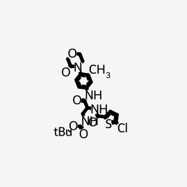 Cc1cc(NC(=O)C(CNC(=O)OC(C)(C)C)NC(=O)c2ccc(Cl)s2)ccc1N1CCOCC1=O